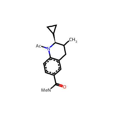 CNC(=O)c1ccc2c(c1)CC(C)[C@H](C1CC1)N2C(C)=O